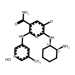 Cc1cncc(Nc2nc(N[C@@H]3CCCC[C@@H]3N)c(Cl)cc2C(N)=O)c1.Cl